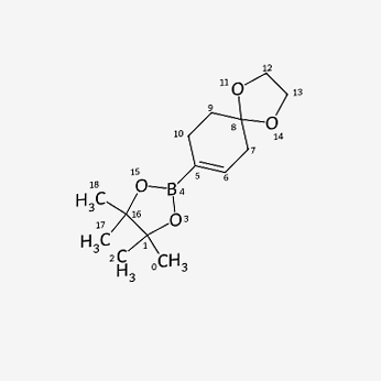 CC1(C)OB(C2=CCC3(CC2)OCCO3)OC1(C)C